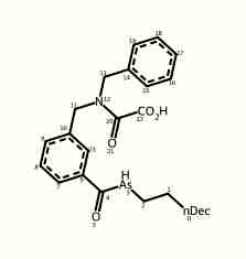 CCCCCCCCCCCC[AsH]C(=O)c1cccc(CN(Cc2ccccc2)C(=O)C(=O)O)c1